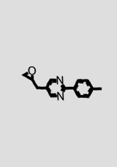 Cc1ccc(-c2ncc(CC3CO3)cn2)cc1